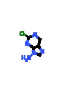 Nn1cnc2cnc(Cl)nc21